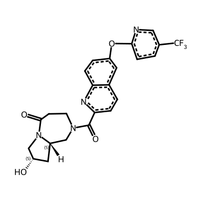 O=C(c1ccc2cc(Oc3ccc(C(F)(F)F)cn3)ccc2n1)N1CCC(=O)N2C[C@@H](O)C[C@H]2C1